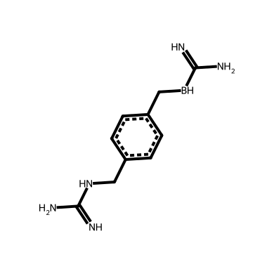 N=C(N)BCc1ccc(CNC(=N)N)cc1